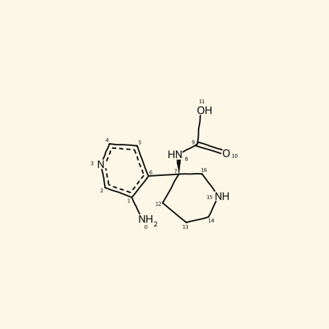 Nc1cnccc1[C@@]1(NC(=O)O)CCCNC1